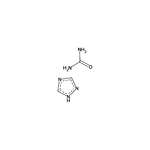 NC(N)=O.c1nc[nH]n1